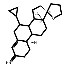 CC[C@]12CCC3C(C(C4CC4)CC4=CC(=N)CC[C@@H]43)C1CC[C@@]21CCCO1